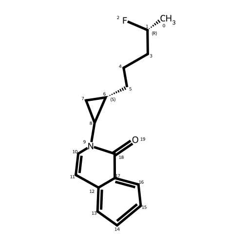 C[C@@H](F)CCC[C@H]1CC1n1ccc2ccccc2c1=O